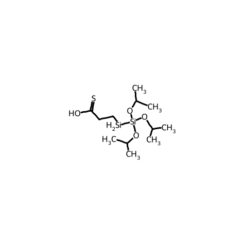 CC(C)O[Si](OC(C)C)(OC(C)C)[SiH2]CCC(O)=S